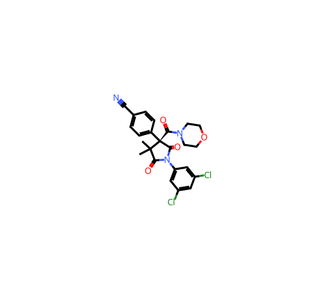 CC1(C)C(=O)N(c2cc(Cl)cc(Cl)c2)C(=O)[C@@]1(C(=O)N1CCOCC1)c1ccc(C#N)cc1